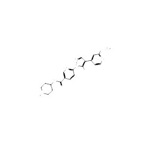 CCN1CCC(NC(=O)c2ccc(-n3ncc(-c4ccnc(OC)c4)c3O)nc2)CC1